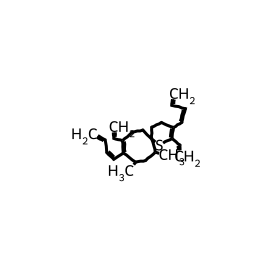 C=C/C=C\C1=C(C=C)SC2(CC1)CC/C(C=C)=C(/C=C\C=C)C(C)CC2C